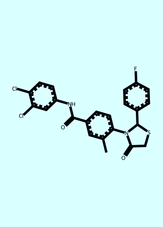 Cc1cc(C(=O)Nc2ccc(Cl)c(Cl)c2)ccc1N1C(=O)CSC1c1ccc(F)cc1